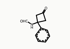 O=CNC1(c2ccccc2)CC(=O)C1